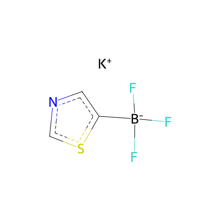 F[B-](F)(F)c1cncs1.[K+]